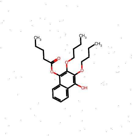 CCCCOc1c(OCCCC)c(OC(=O)CCCC)c2ccccc2c1O